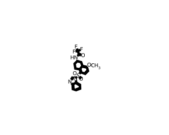 COc1ccc(S(=O)(=O)n2cnc3ccccc32)c2c1C[C@@H](NC(=O)C(F)(F)F)CC2